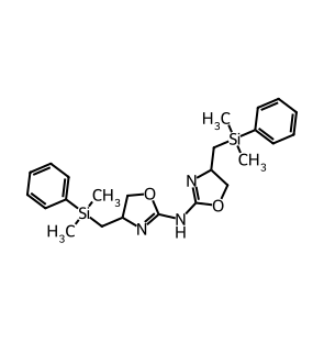 C[Si](C)(CC1COC(NC2=NC(C[Si](C)(C)c3ccccc3)CO2)=N1)c1ccccc1